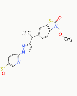 COCn1c(=O)sc2cc(C(C)c3ccn(-c4ccc([S+](C)[O-])cn4)n3)ccc21